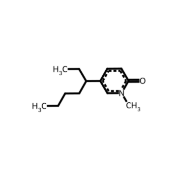 CCCCC(CC)c1ccc(=O)n(C)c1